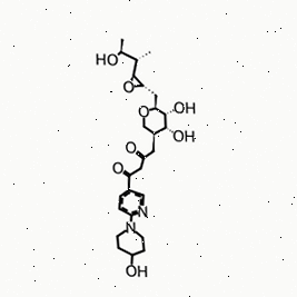 C[C@H]([C@@H]1O[C@H]1C[C@@H]1OC[C@H](CC(=O)CC(=O)c2ccc(N3CCC(O)CC3)nc2)[C@@H](O)[C@H]1O)[C@H](C)O